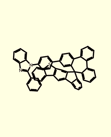 c1ccc(-c2nc3ccccc3n2-c2ccc(-c3ccc4c(c3)C3(c5ccccc5-c5ccccc5-4)c4ccccc4-c4cc5c(cc43)sc3ccccc35)cc2)cc1